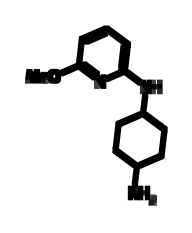 COc1cccc(NC2CCC(N)CC2)n1